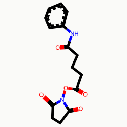 O=C(CCCC(=O)ON1C(=O)CCC1=O)Nc1ccccc1